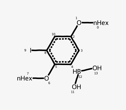 CCCCCCOc1ccc(OCCCCCC)c(I)c1.OBO